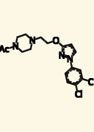 CC(=O)N1CCN(CCOc2ccn(-c3ccc(Cl)c(Cl)c3)n2)CC1